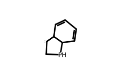 [C]1CPC2C=CC=CC12